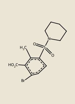 Cc1c(S(=O)(=O)N2CCCCC2)ccc(Br)c1C(=O)O